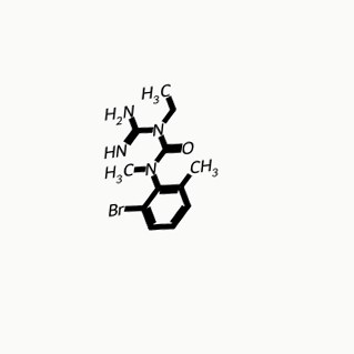 CCN(C(=N)N)C(=O)N(C)c1c(C)cccc1Br